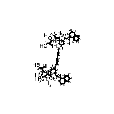 C=C(C)[C@H](NC(=O)[C@@H](N)CO)C(=O)N1C[C@@H](OCC#CC#CCO[C@H]2CC(C(=O)N[C@@H]3CCCc4ccccc43)N(C(=O)[C@@H](NC(=O)[C@@H](N)CO)C(C)(C)C)C2)C[C@H]1C(=O)N[C@@H]1CCCc2ccccc21